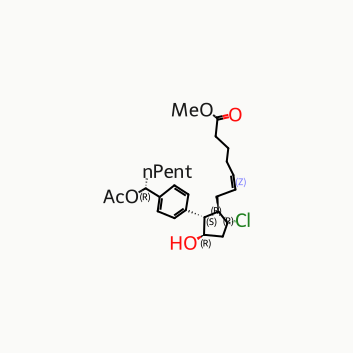 CCCCC[C@@H](OC(C)=O)c1ccc([C@@H]2[C@@H](C/C=C\CCCC(=O)OC)[C@H](Cl)C[C@H]2O)cc1